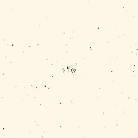 O.[C].[N].[S]